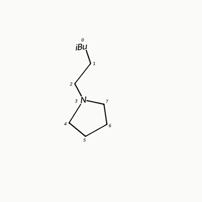 CCC(C)CCN1CCCC1